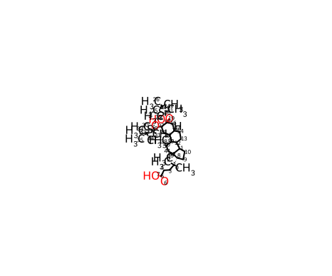 CC(C)(CCC(=O)O)[C@H]1CCC2C3CC[C@@H]4C[C@@](O)(O[Si](C)(C)C(C)(C)C)C(O[Si](C)(C)C(C)(C)C)C[C@]4(C)C3CC[C@@]21C